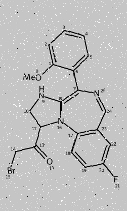 COc1ccccc1C1=C2NCC(C(=O)CBr)N2c2ccc(F)cc2C=N1